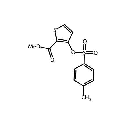 COC(=O)c1sccc1OS(=O)(=O)c1ccc(C)cc1